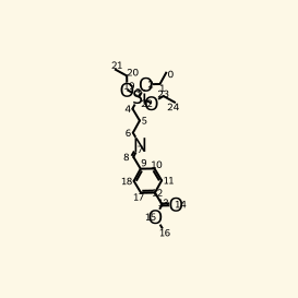 CCO[Si](CCCN=Cc1ccc(C(=O)OC)cc1)(OCC)OCC